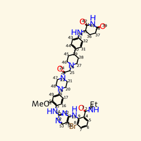 CCNC(=O)c1ccccc1Nc1nc(Nc2ccc(N3CCN(C(=O)CN4CCC(c5ccc(NC6CCC(=O)NC6=O)cc5)CC4)CC3)cc2OC)ncc1Br